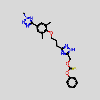 Cc1cc(-c2nnn(C)n2)cc(C)c1OCCCc1n[nH]c(COC(=S)Oc2ccccc2)n1